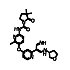 Cc1nc(NC(=O)N2CCC(C)(C)C2=O)ccc1Oc1ccnc(/C(C=N)=C/N[C@H]2CCOC2)c1